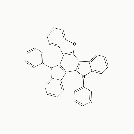 c1ccc(-n2c3ccccc3c3c4c(c5ccccc5n4-c4cccnc4)c4oc5ccccc5c4c32)cc1